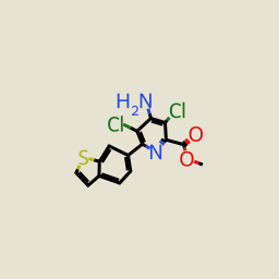 COC(=O)c1nc(-c2ccc3ccsc3c2)c(Cl)c(N)c1Cl